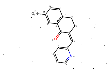 O=C1/C(=C\c2ccccn2)CCc2ccc([N+](=O)[O-])cc21